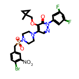 CC1(COc2c(N3CCN(S(=O)(=O)Cc4ccc(Br)c([N+](=O)[O-])c4)CC3)cnn(-c3cc(F)cc(F)c3)c2=O)CC1